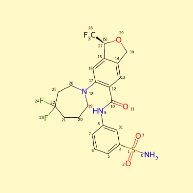 NS(=O)(=O)c1cccc(NC(=O)c2cc3c(cc2N2CCCC(F)(F)CC2)[C@@H](C(F)(F)F)OC3)c1